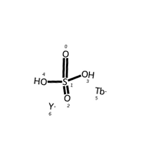 O=S(=O)(O)O.[Tb].[Y]